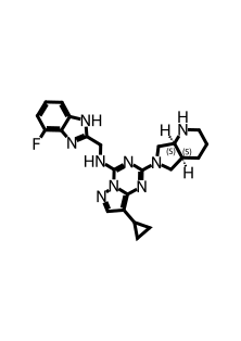 Fc1cccc2[nH]c(CNc3nc(N4C[C@@H]5CCCN[C@@H]5C4)nc4c(C5CC5)cnn34)nc12